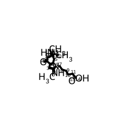 CNc1cc2c(n1CCCCCC(=O)O)CC(NC)(NC)CC2=O